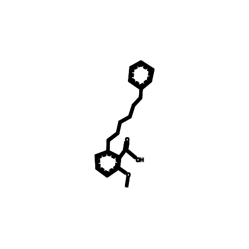 COc1cccc(CCCCCCc2ccccc2)c1C(=O)O